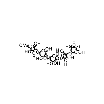 CC[C@@H]1C(CO)OCC(OC[C@@H]2C(CO)O[C@H](COC[C@@H]3C(CO)OCC(OC[C@@H]4C(CO)OCC(OC[C@@H]5C(CO)O[C@H](COC)C(O)[C@H]5O)CC(O)[C@H]4O)CC(O)C3O)C(O)[C@H]2O)CC(O)[C@H]1O